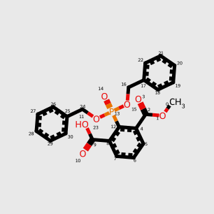 COC(=O)c1cccc(C(=O)O)c1P(=O)(OCc1ccccc1)OCc1ccccc1